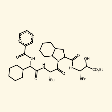 CCC[C@H](NC(=O)C1CC2CCCCC2N1C(=O)[C@@H](NC(=O)[C@@H](NC(=O)c1cnccn1)C1CCCCC1)C(C)(C)C)C(O)C(=O)OCC